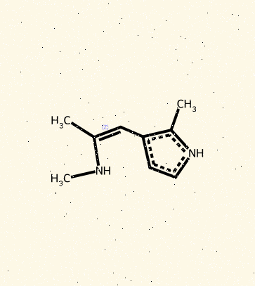 CN/C(C)=C\c1cc[nH]c1C